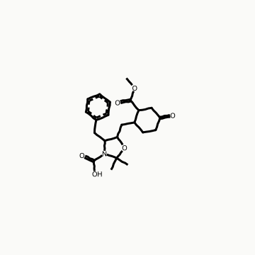 COC(=O)C1CC(=O)CCC1CC1OC(C)(C)N(C(=O)O)C1Cc1ccccc1